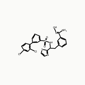 NC(=NO)c1cccc(CC(NS(=O)(=O)c2cccc(-c3ccc(Cl)cc3Cl)c2)c2nccs2)c1